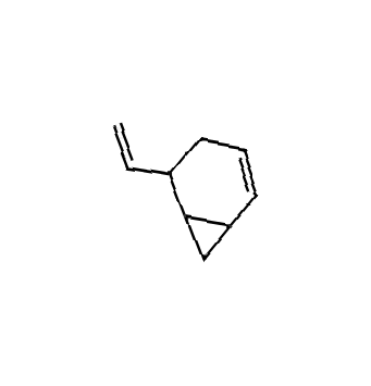 C=[C]C1CC=CC2CC12